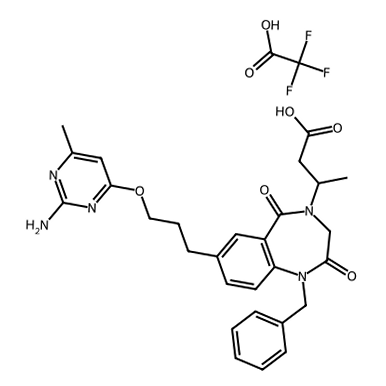 Cc1cc(OCCCc2ccc3c(c2)C(=O)N(C(C)CC(=O)O)CC(=O)N3Cc2ccccc2)nc(N)n1.O=C(O)C(F)(F)F